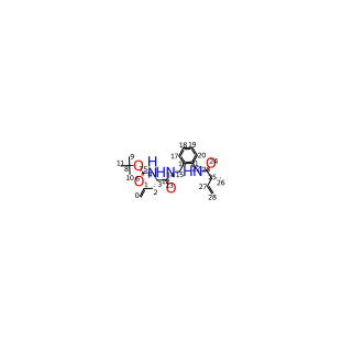 C=CC[C@H](NC(=O)OC(C)(C)C)C(=O)NCc1ccccc1NC(=O)[C@H](C)C=C